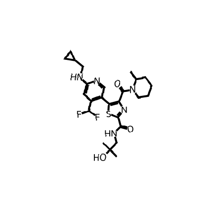 CC1CCCCN1C(=O)c1nc(C(=O)NCC(C)(C)O)sc1-c1cnc(NCC2CC2)cc1C(F)F